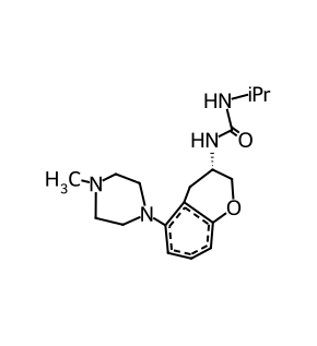 CC(C)NC(=O)N[C@@H]1COc2cccc(N3CCN(C)CC3)c2C1